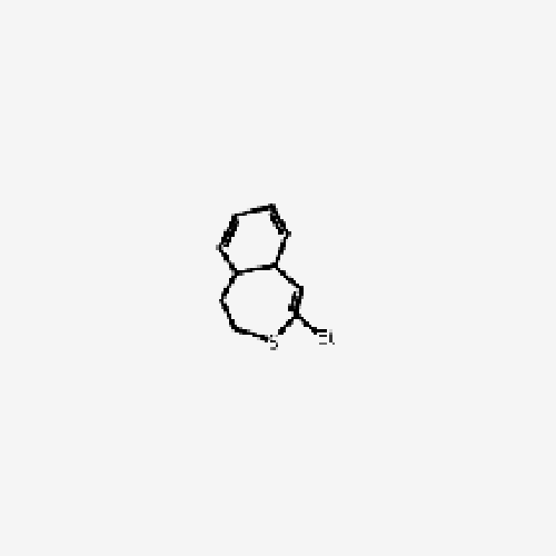 CCC1=CC2C=CC=CC2CCS1